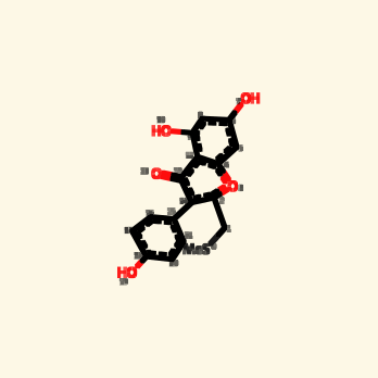 CSCc1oc2cc(O)cc(O)c2c(=O)c1-c1ccc(O)cc1